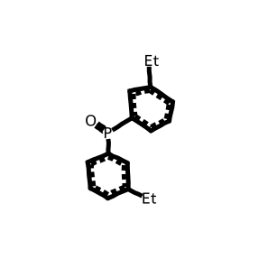 CCc1cccc([P](=O)c2cccc(CC)c2)c1